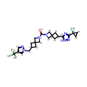 O=C(N1CC2(CC(Cn3cc(C(F)(F)F)cn3)C2)C1)N1CC2(CC(c3nc(C4(F)CC4)n[nH]3)C2)C1